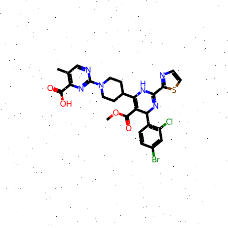 COC(=O)C1=C(C2CCN(c3ncc(C)c(C(=O)O)n3)CC2)NC(c2nccs2)=NC1c1ccc(Br)cc1Cl